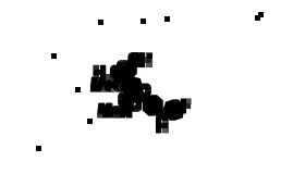 CNC(=O)Oc1c(-c2ccc(Nc3ccc(F)cc3)cc2)oc2cc(N(CCO)S(C)(=O)=O)c(OC)cc12